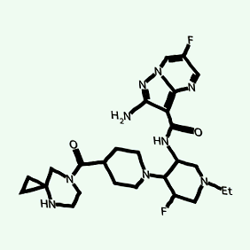 CCN1CC(F)C(N2CCC(C(=O)N3CCNC4(CC4)C3)CC2)C(NC(=O)c2c(N)nn3cc(F)cnc23)C1